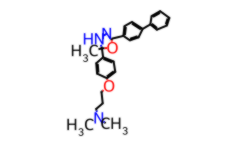 CN(C)CCCOc1ccc(C2(C)NN=C(c3ccc(-c4ccccc4)cc3)O2)cc1